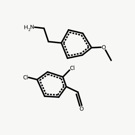 COc1ccc(CCN)cc1.O=Cc1ccc(Cl)cc1Cl